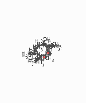 CC(C)C[C@@H]1NC(=O)[C@@H](Cc2ccccc2)NC(=O)[C@H](CCNC(=O)OC(C)(C)C)NC(=O)[C@@H](NC(=O)[C@H](N)CO)CCNC(=O)[C@H]([C@@H](C)O)NC(=O)[C@H](CCNC(=O)OC(C)(C)C)NC(=O)[C@H](CCNC(=O)OC(C)(C)C)NC1=O